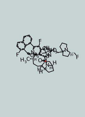 C#Cc1c(F)ccc2cccc(-c3nc4c5c(nc(OC[C@@]67CCCN6[C@H](CF)CC7)nc5c3F)N3C[C@H]5CC[C@@H]([C@H]3CC[C@H]4C)N5C(=O)OC(C)(C)C)c12